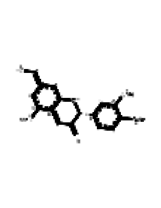 COc1ccc([C@H]2Oc3c/c(=C/O)cc(OC)c3=CC2=O)cc1OC